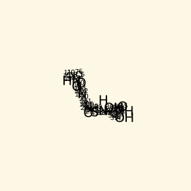 O=C(Nc1ccccc1-c1ccccc1)OC1CCN(CCC2CCN(C(=O)c3ccc(CNC[C@H](O)c4ccc(O)c5[nH]c(=O)ccc45)s3)CC2)CC1